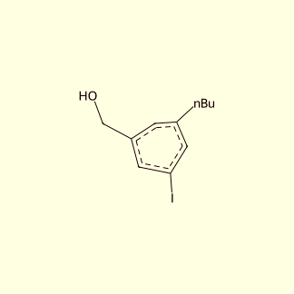 CCCCc1cc(I)cc(CO)c1